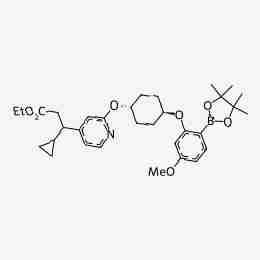 CCOC(=O)CC(c1ccnc(O[C@H]2CC[C@H](Oc3cc(OC)ccc3B3OC(C)(C)C(C)(C)O3)CC2)c1)C1CC1